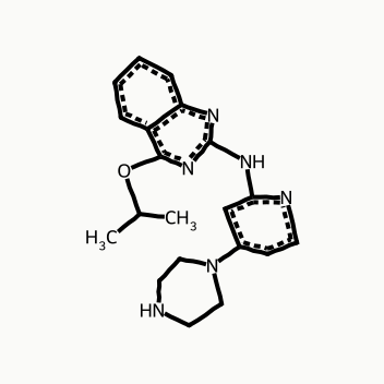 CC(C)Oc1nc(Nc2cc(N3CCNCC3)ccn2)nc2ccccc12